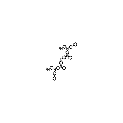 [3H]c1cccc(N(c2ccc(-c3ccccc3)cc2)c2ccc(N(c3ccccc3)c3ccc(Oc4ccc(N(c5ccccc5)c5ccc(N(c6ccc(-c7ccccc7)cc6)c6cccc([3H])c6)cc5)cc4)cc3)cc2)c1